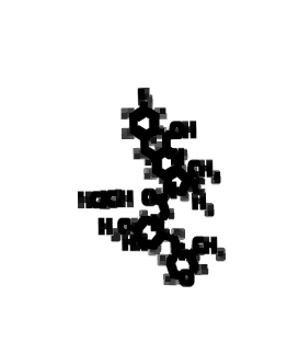 C[C@@H]1CN(CC(=O)N2CC(C)(C)c3nc(CO)c(Cc4ccc(F)cc4)cc32)[C@@H](CN2CCOC[C@H]2C)CN1.Cl.Cl